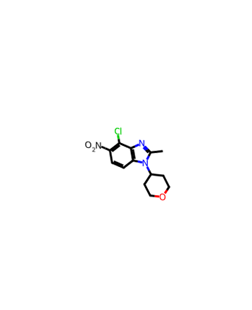 Cc1nc2c(Cl)c([N+](=O)[O-])ccc2n1C1CCOCC1